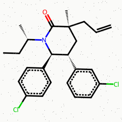 C=CC[C@@]1(C)C[C@H](c2cccc(Cl)c2)[C@@H](c2ccc(Cl)cc2)N([C@@H](C)CC)C1=O